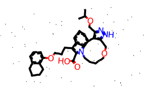 CC(C)OCc1n[nH]c2c1-c1cccc3c(CCCOc4cccc5c4CCCC5)c(C(=O)O)n(c13)CCCCOC2